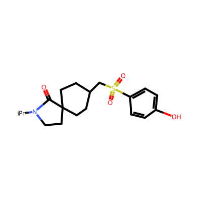 CC(C)N1CCC2(CCC(CS(=O)(=O)c3ccc(O)cc3)CC2)C1=O